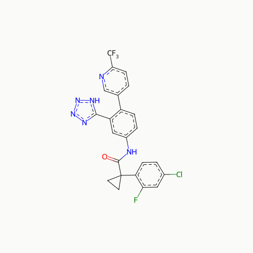 O=C(Nc1ccc(-c2ccc(C(F)(F)F)nc2)c(-c2nnn[nH]2)c1)C1(c2ccc(Cl)cc2F)CC1